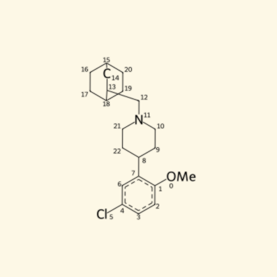 COc1ccc(Cl)cc1C1CCN(CC2CC3CCC2CC3)CC1